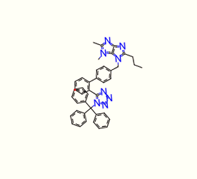 CCCc1nc2nc(C)n(C)c2n1Cc1ccc(-c2ccccc2-c2nnnn2C(c2ccccc2)(c2ccccc2)c2ccccc2)cc1